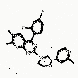 Cc1cc([C@H]2CN(c3nc(-c4ccc(F)cc4F)c4cc(C)c(C)nc4n3)CCO2)ccn1